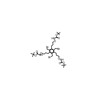 CC(C)(C)OC(=O)NOCCCc1c(CBr)c(CCCONC(=O)OC(C)(C)C)c(CBr)c(CCCONC(=O)OC(C)(C)C)c1CBr